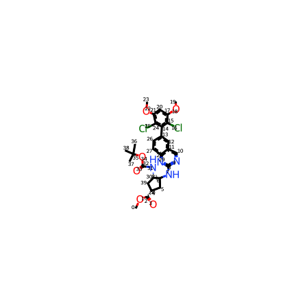 COC(=O)[C@H]1CC(Nc2ncc3cc(-c4c(Cl)c(OC)cc(OC)c4Cl)ccc3n2)[C@@H](NC(=O)OC(C)(C)C)C1